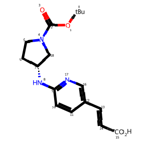 CC(C)(C)OC(=O)N1CC[C@@H](Nc2ccc(C=CC(=O)O)cn2)C1